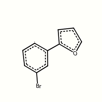 Brc1cc[c]c(-c2ccco2)c1